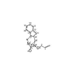 C=CCON1C(=O)N2Cc3c(sc4ccccc34)C1C2